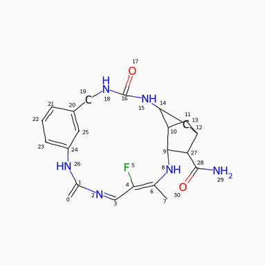 C=C1/N=C\C(F)=C(/C)NC2C3CC(CC3NC(=O)NCc3cccc(c3)N1)C2C(N)=O